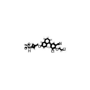 CS(=O)(=O)NC12CC(COc3ccc4c(c3)CCCC4c3cc(Cl)c(OCCCl)c(C#N)c3)(C1)C2